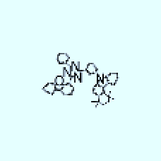 CC1(C)CCC(C)(C)c2c1ccc1c2c2ccccc2n1-c1cccc(-c2nc(-c3ccccc3)nc(-c3cccc4c3oc3ccccc34)n2)c1